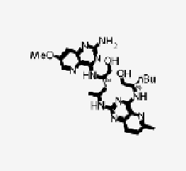 CCCC[C@@H](CO)Nc1nc(NC(C)C[C@@H](CO)Nc2nc(N)nc3cc(OC)cnc23)nc2ccc(C)nc12